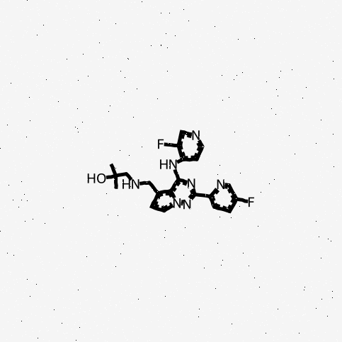 CC(C)(O)CNCc1ccn2nc(-c3ccc(F)cn3)nc(Nc3ccncc3F)c12